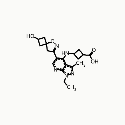 CCn1nc(C)c2c(NC3CC(C(=O)O)C3)c(C3=NOC4(C3)CC(O)C4)cnc21